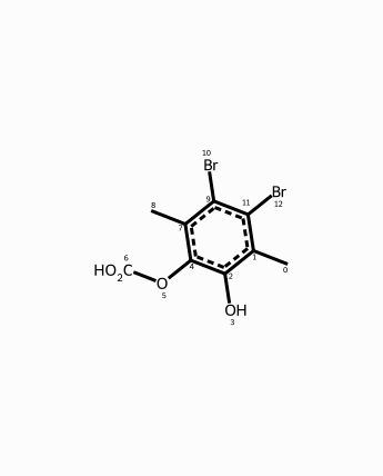 Cc1c(O)c(OC(=O)O)c(C)c(Br)c1Br